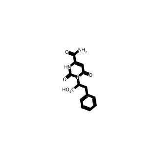 NC(=O)c1cc(=O)n(C(Cc2ccccc2)C(=O)O)c(=O)[nH]1